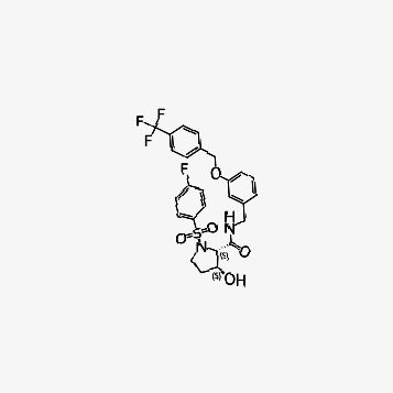 O=C(NCc1cccc(OCc2ccc(C(F)(F)F)cc2)c1)[C@@H]1[C@@H](O)CCN1S(=O)(=O)c1ccc(F)cc1